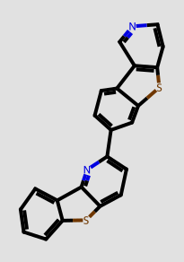 c1ccc2c(c1)sc1ccc(-c3ccc4c(c3)sc3ccncc34)nc12